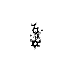 C=C(C)[C@@H]1CC[C@](N)(O[PH](=S)Sc2c(F)c(F)c(F)c(F)c2F)[C@@H](SC)C1